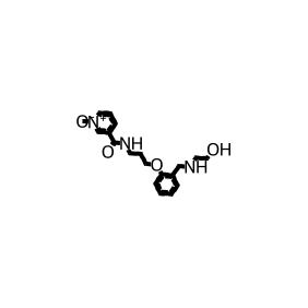 O=C(NCCCOc1ccccc1CNCCO)c1ccc[n+]([O-])c1